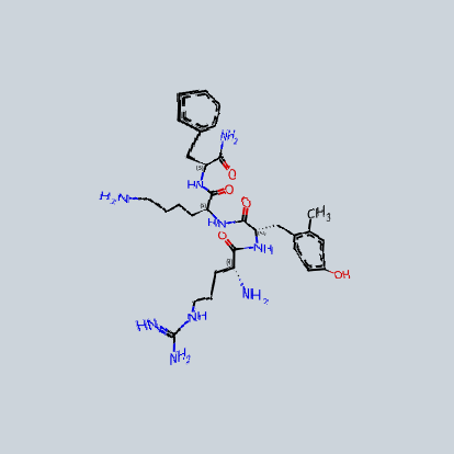 Cc1cc(O)ccc1C[C@H](NC(=O)[C@H](N)CCCNC(=N)N)C(=O)N[C@@H](CCCCN)C(=O)N[C@@H](Cc1ccccc1)C(N)=O